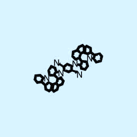 N#Cc1cc(-n2c3cccc(-n4c5ccccc5c5ccccc54)c3c3c4ccccc4ccc32)c(C#N)cc1-n1c2cccc(-n3c4ccccc4c4ccccc43)c2c2c3ccccc3ccc21